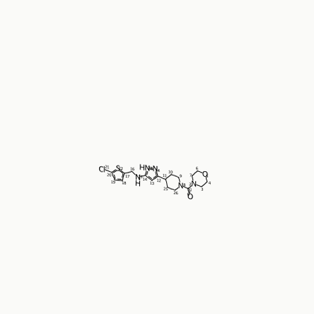 O=C(N1CCOCC1)N1CCC(c2cc(NCc3ccc(Cl)s3)[nH]n2)CC1